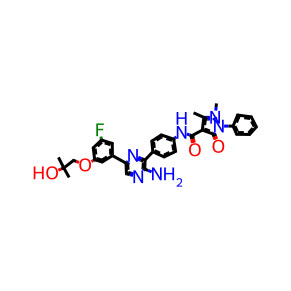 Cc1c(C(=O)Nc2ccc(-c3nc(-c4cc(F)cc(OCC(C)(C)O)c4)cnc3N)cc2)c(=O)n(-c2ccccc2)n1C